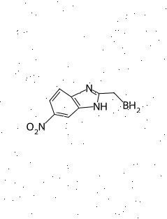 BCc1nc2ccc([N+](=O)[O-])cc2[nH]1